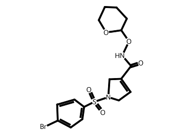 O=C(NOC1CCCCO1)C1=CCN(S(=O)(=O)c2ccc(Br)cc2)C1